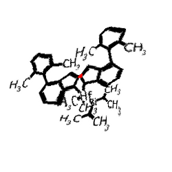 Cc1cccc(C)c1-c1cccc2c1C=C[CH]2[Hf]([CH3])([CH3])([CH]1C=Cc2c(-c3c(C)cccc3C)cccc21)=[Si](C(C)C)C(C)C